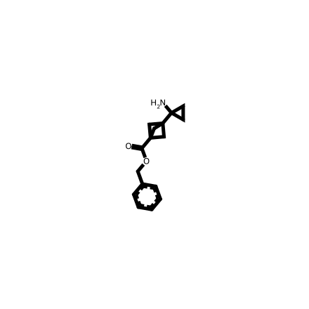 NC1(C23CC(C(=O)OCc4ccccc4)(C2)C3)CC1